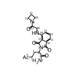 CC(=O)CCC(C(N)=O)N1C(=O)c2cccc(NCC(=O)N3CCC3)c2C1=O